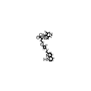 Cc1cncc(C)c1CNC(CCO[C@H]1C[C@@H](CCc2ccc3c(n2)NCCC3)C1)C(=O)O